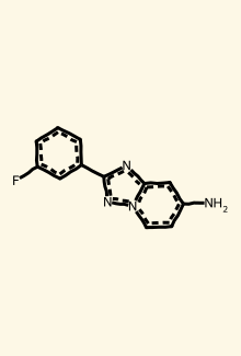 Nc1ccn2nc(-c3cccc(F)c3)nc2c1